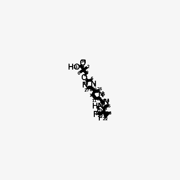 CC(C)(COc1cnc(-c2ccc(-c3ncc(C4(C(F)(F)F)CC4)[nH]3)nc2)cn1)C(=O)O